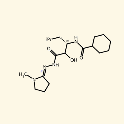 CC(C)C[C@H](NC(=O)C1CCCCC1)C(O)C(=O)N/N=C1\CCCN1C